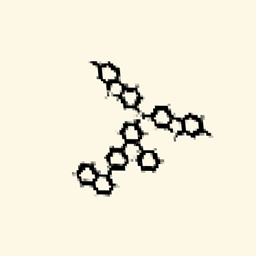 Cc1ccc2c(c1)oc1cc(N(c3ccc(-c4ccc(-c5cccc6ccccc56)cc4)c(-c4ccccc4)c3)c3ccc4c(c3)oc3cc(C)ccc34)ccc12